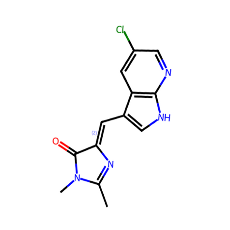 CC1=N/C(=C\c2c[nH]c3ncc(Cl)cc23)C(=O)N1C